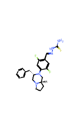 NC(=S)NN=Cc1cc(F)c(N2C[C@@H]3CCCN3C[C@@H]2Cc2ccccc2)cc1F